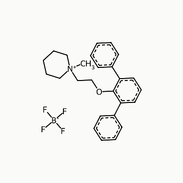 C[N+]1(CCOc2c(-c3ccccc3)cccc2-c2ccccc2)CCCCC1.F[B-](F)(F)F